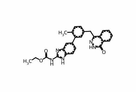 CCOC(=O)Nc1nc2cc(-c3cc(Cc4n[nH]c(=O)c5ccccc45)ccc3C)ccc2[nH]1